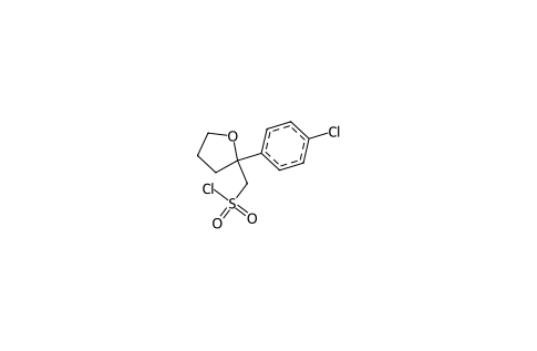 O=S(=O)(Cl)CC1(c2ccc(Cl)cc2)CCCO1